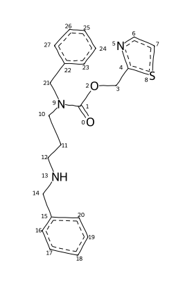 O=C(OCc1nccs1)N(CCCNCc1ccccc1)Cc1ccccc1